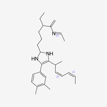 C=C(/N=C/C)C(CC)CCCC1NC(c2ccc(C)c(C)c2)=C(C(C)/C=C\C=C/C)N1